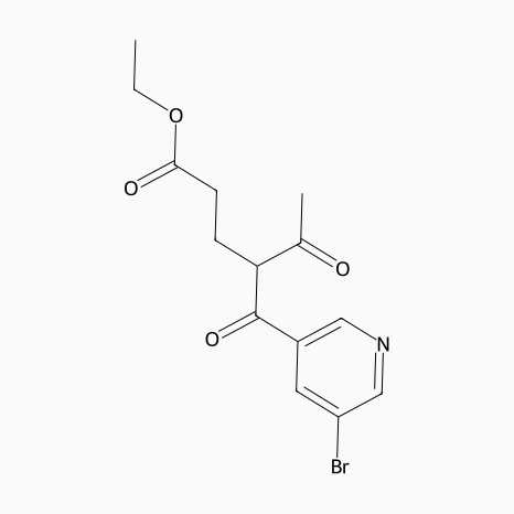 CCOC(=O)CCC(C(C)=O)C(=O)c1cncc(Br)c1